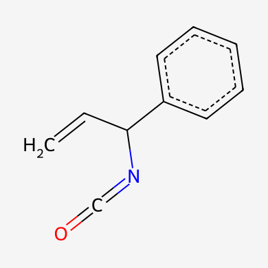 C=CC(N=C=O)c1ccccc1